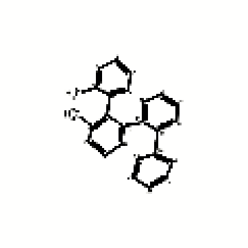 Cc1ccccc1-c1c(C)cccc1-c1ccccc1-c1ccccc1